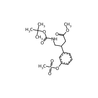 COC(=O)CC(CNC(=O)OC(C)(C)C)c1cccc(OS(C)(=O)=O)c1